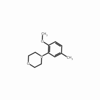 COc1ccc(C)cc1N1CCOCC1